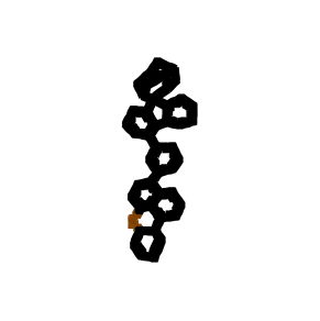 C1=CC2Sc3ccc(-c4cccc(-c5cccc6c5-c5ccccc5C65C6CC7CC(C6)CC5C7)c4)c4cccc(c34)C2C=C1